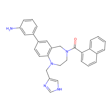 Nc1cccc(-c2ccc3c(c2)CN(C(=O)c2cccc4ccccc24)CCN3Cc2c[nH]cn2)c1